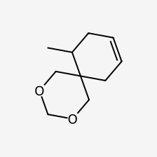 CC1CC=CCC12COCOC2